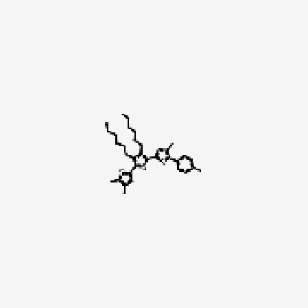 CCCCCCc1c(-c2cc(C)c(C)s2)sc(-c2cc(C)c(-c3ccc(C)cc3)s2)c1CCCCCC